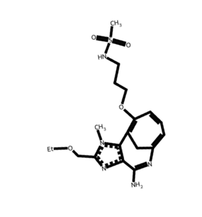 CCOCc1nc2c(n1C)C1=C(OCCCNS(C)(=O)=O)C=CC=C(C1)N=C2N